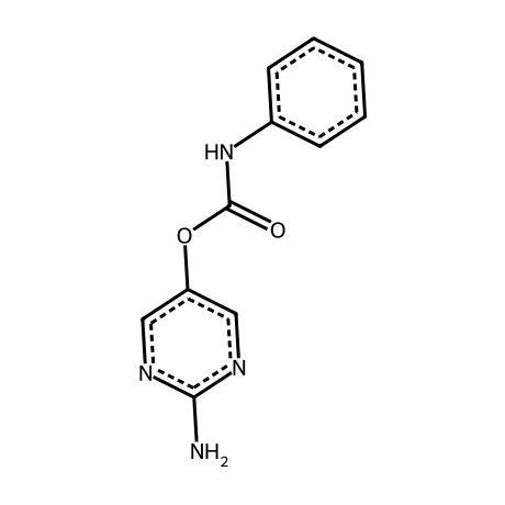 Nc1ncc(OC(=O)Nc2ccccc2)cn1